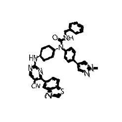 Cn1cc(-c2ccc(N(C(=O)NCc3ccccc3)[C@H]3CC[C@H](Nc4ncc(C#N)c(-c5ccc6scnc6c5)n4)CC3)cc2)cn1